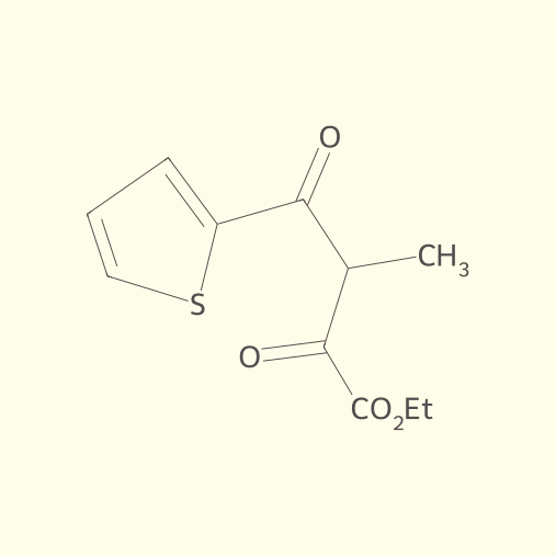 CCOC(=O)C(=O)C(C)C(=O)c1cccs1